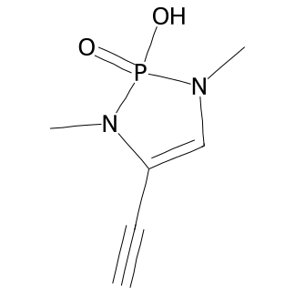 C#CC1=CN(C)P(=O)(O)N1C